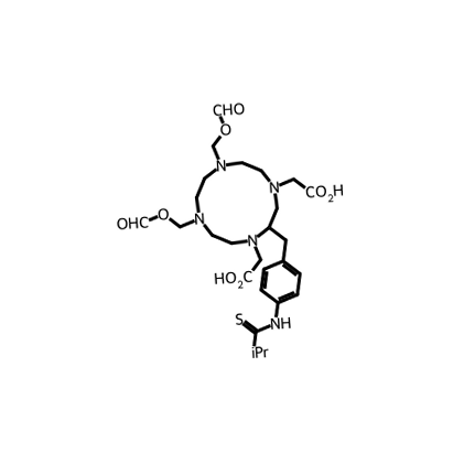 CC(C)C(=S)Nc1ccc(CC2CN(CC(=O)O)CCN(COC=O)CCN(COC=O)CCN2CC(=O)O)cc1